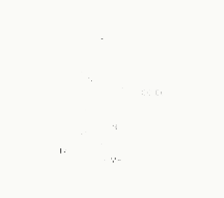 CCOC(=O)c1c(CBr)n(C)c2cc(Br)c(OC)nc12